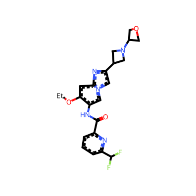 CCOc1cc2nc(C3CN(C4COC4)C3)cn2cc1NC(=O)c1cccc(C(F)F)n1